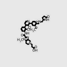 COc1cc(-c2nccc(-c3cccc(NC(=O)c4nc5c(n4C)CCN(CCC(=O)O)C5)c3Cl)c2Cl)ccc1CNCC1CCC(=O)N1